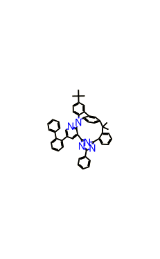 CC(C)(C)c1ccc2c(c1)c1cc3ccc1n2-c1ncc(-c2ccccc2-c2ccccc2)cc1-c1nc(-c2ccccc2)nc(n1)-c1ccccc1C3(C)C